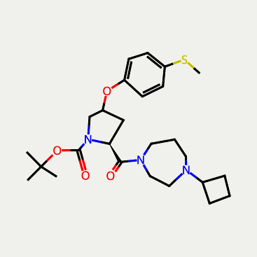 CSc1ccc(OC2C[C@@H](C(=O)N3CCCN(C4CCC4)CC3)N(C(=O)OC(C)(C)C)C2)cc1